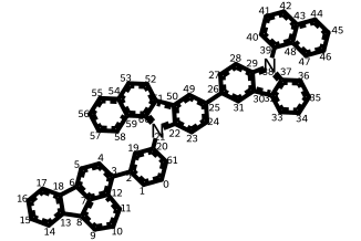 c1cc(-c2ccc3c4c(cccc24)-c2ccccc2-3)cc(-n2c3ccc(-c4ccc5c(c4)c4ccccc4n5-c4cccc5ccccc45)cc3c3ccc4ccccc4c32)c1